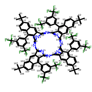 Cn1c2nc3nc(nc4[nH]c(nc5nc(nc1c1c(-c6cc(C(F)(F)F)cc(C(F)(F)F)c6)c6ccc(C(C)(C)C)cc6cc12)-c1cc2cc(C(C)(C)C)ccc2c(-c2cc(C(F)(F)F)cc(C(F)(F)F)c2)c1-5)c1cc2cc(C(C)(C)C)ccc2c(-c2cc(C(F)(F)F)cc(C(F)(F)F)c2)c41)-c1cc2cc(C(C)(C)C)ccc2c(-c2cc(C(F)(F)F)cc(C(F)(F)F)c2)c1-3